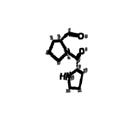 O=[C][C@@H]1CCCN1C(=O)[C@@H]1CCCN1